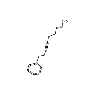 O=CC=CCCC#CCCc1ccccc1